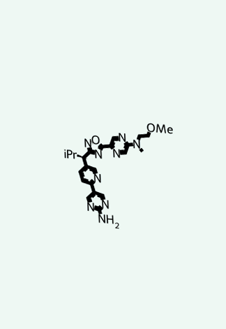 COCCN(C)c1cnc(-c2nc([C@@H](c3ccc(-c4cnc(N)nc4)nc3)C(C)C)no2)cn1